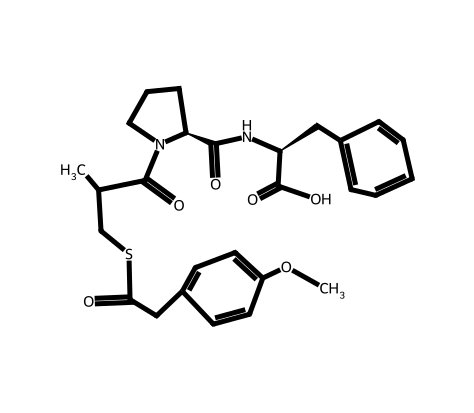 COc1ccc(CC(=O)SCC(C)C(=O)N2CCC[C@H]2C(=O)N[C@@H](Cc2ccccc2)C(=O)O)cc1